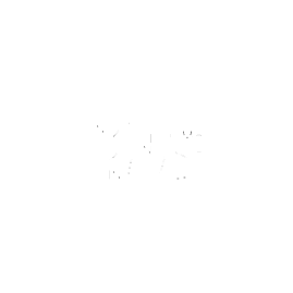 COc1c(F)cccc1Nc1c[nH]c2c1C(=O)NCC2